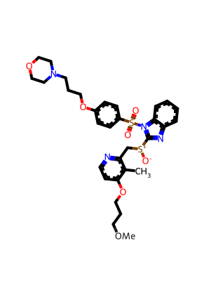 COCCCOc1ccnc(C[S+]([O-])c2nc3ccccc3n2S(=O)(=O)c2ccc(OCCCN3CCOCC3)cc2)c1C